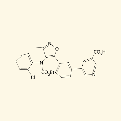 CCOC(=O)N(c1ccccc1Cl)c1c(C)noc1-c1cccc(-c2cncc(C(=O)O)c2)c1